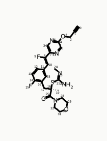 C#CCOc1cnc(/C(F)=C/c2ccc(F)c(C[C@@](C)(S/C(N)=N\C)C(=O)N3CCOCC3)c2)cn1